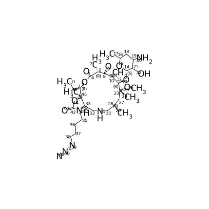 CC[C@H]1OC(=O)[C@H](C)C(=O)[C@H](C)[C@@H](O[C@@H]2OC(C)CC(N)C2O)[C@](C)(OC)C[C@@H](C)CNC[C@H]2N(CCCCN=[N+]=[N-])C(=O)O[C@]12C